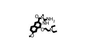 CCN(CC)CCOc1cc(C(=O)N(C)C(=N)N)cc2ccc(OC)cc12